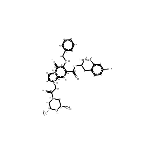 CSc1cc(F)ccc1CC(C=O)SC(=O)c1nc2n(CC(=O)N3C[C@@H](C)O[C@H](C)C3)ccn2c(=O)c1OCc1ccccc1